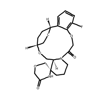 O=C1COC[C@]2(CCCN3C(=O)COc4c(F)cccc4[C@H]4CC[C@H](CC4)OC[C@@H]32)N1